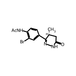 CC(=O)Nc1ccc(C2=NNC(=O)C[C@H]2C)cc1Br